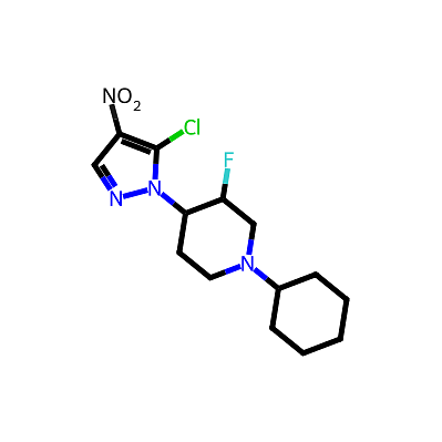 O=[N+]([O-])c1cnn(C2CCN(C3CCCCC3)CC2F)c1Cl